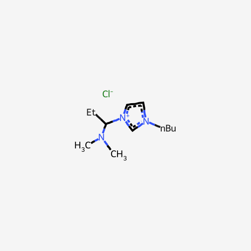 CCCCn1cc[n+](C(CC)N(C)C)c1.[Cl-]